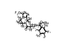 [2H]c1c(F)c(F)c([2H])c(C[C@@H](NC(=O)OC(C)(C)C)C([2H])([2H])C(=O)N2C([2H])([2H])c3nnc(C(F)(F)F)n3C([2H])([2H])C2([2H])[2H])c1F